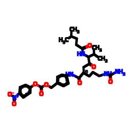 CC(C)CCC(=O)NC(C(=O)C[C@@H](CCCNC(N)=O)C(=O)Nc1ccc(COC(=O)Oc2ccc([N+](=O)[O-])cc2)cc1)C(C)C